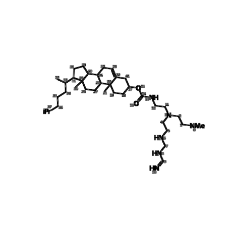 CNCCN(CCNCNC=N)CCNC(=O)OC1CCC2(C)C(=CCC3C2CCC2(C)C(C(C)CCCC(C)C)CCC32)C1